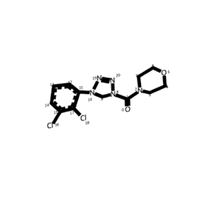 O=C(N1CCOCC1)N1CN(c2cccc(Cl)c2Cl)N=N1